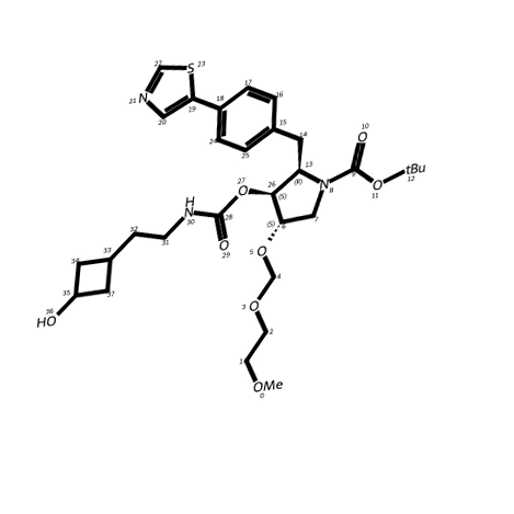 COCCOCO[C@H]1CN(C(=O)OC(C)(C)C)[C@H](Cc2ccc(-c3cncs3)cc2)[C@@H]1OC(=O)NCCC1CC(O)C1